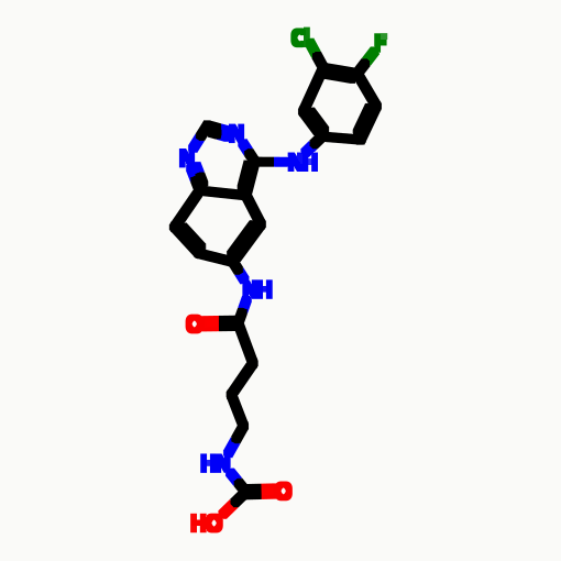 O=C(O)NCCCC(=O)Nc1ccc2ncnc(Nc3ccc(F)c(Cl)c3)c2c1